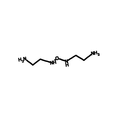 NCCNONCCN